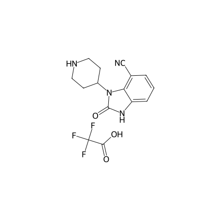 N#Cc1cccc2[nH]c(=O)n(C3CCNCC3)c12.O=C(O)C(F)(F)F